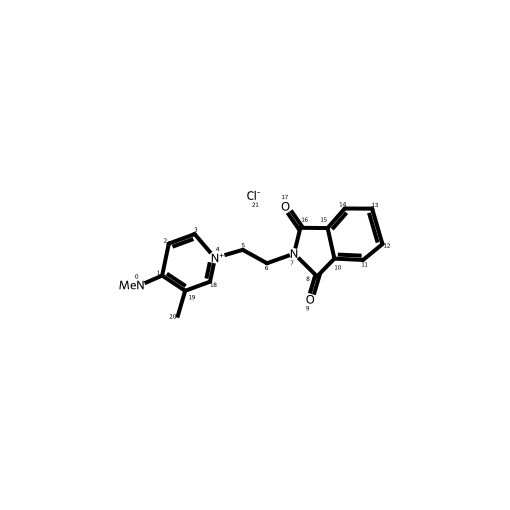 CNc1cc[n+](CCN2C(=O)c3ccccc3C2=O)cc1C.[Cl-]